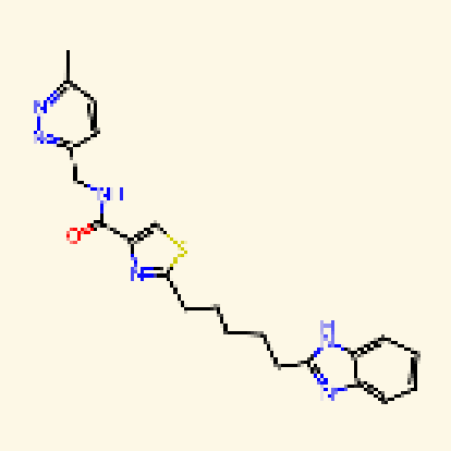 Cc1ccc(CNC(=O)c2csc(CCCCCc3nc4ccccc4[nH]3)n2)nn1